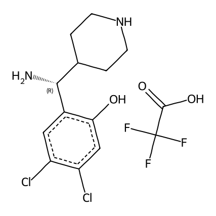 N[C@@H](c1cc(Cl)c(Cl)cc1O)C1CCNCC1.O=C(O)C(F)(F)F